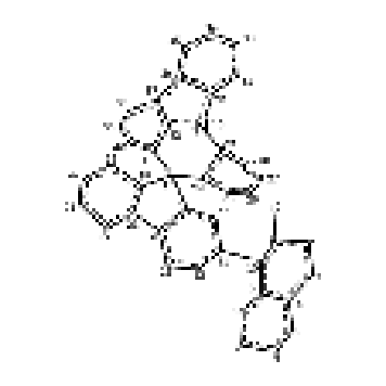 Cc1ccc2ccccc2c1-c1ccc2c(c1)C1(c3ccccc3-2)c2ccccc2-n2c3ccccc3c3cccc1c32